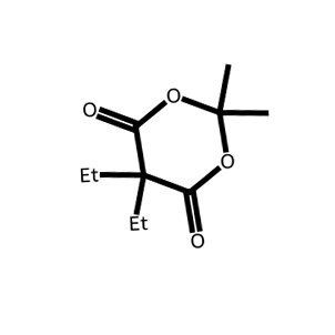 CCC1(CC)C(=O)OC(C)(C)OC1=O